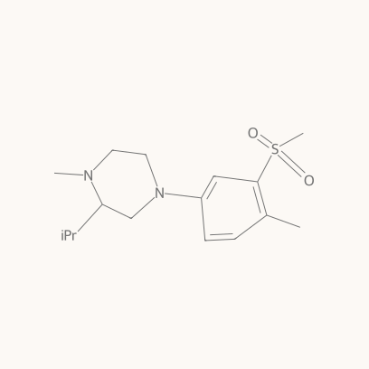 Cc1ccc(N2CCN(C)C(C(C)C)C2)cc1S(C)(=O)=O